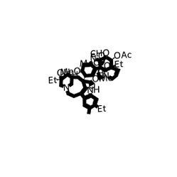 CCc1cc2[nH]c3c(c2cc1C)CCN1C[C@H](C[C@@](O)(CC)C1)C[C@]3(C(=O)OC)C1C=C2C(=CC1OC)N(C=O)[C@@]13O[C@]1(C(=O)OC)[C@H](OC(C)=O)[C@]1(CC)C=CCN4CC[C@]23[C@@H]41